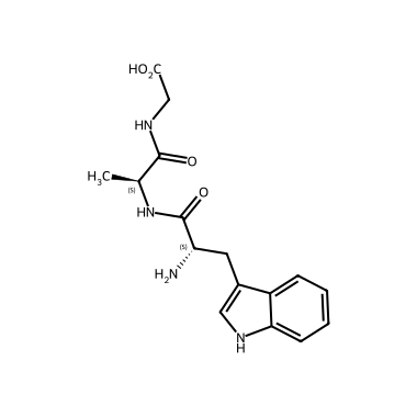 C[C@H](NC(=O)[C@@H](N)Cc1c[nH]c2ccccc12)C(=O)NCC(=O)O